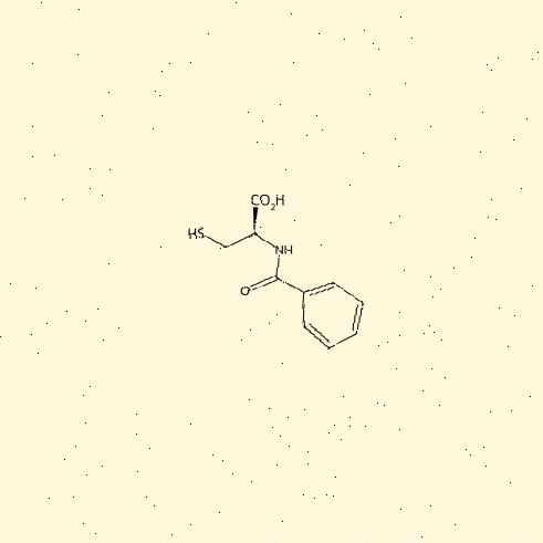 O=C(N[C@@H](CS)C(=O)O)c1ccccc1